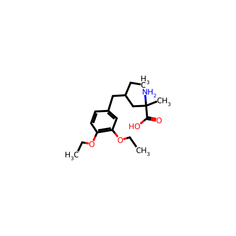 CCOc1ccc(CC(CC)CC(C)(N)C(=O)O)cc1OCC